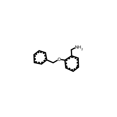 NCc1ccccc1OCc1ccccc1